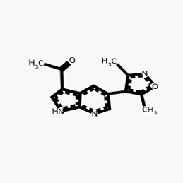 CC(=O)c1c[nH]c2ncc(-c3c(C)noc3C)cc12